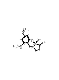 COc1ccc(CN2CCC(F)S2(=O)=O)c(OC)c1